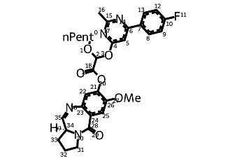 CCCCCOC(Oc1cc(-c2ccc(F)cc2)nc(C)n1)C(=O)Oc1cc2c(cc1OC)C(=O)N1CCC[C@H]1C=N2